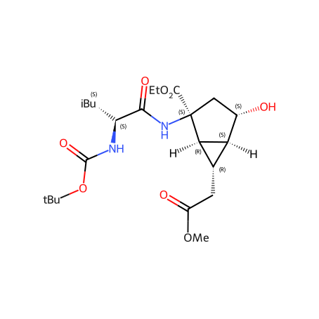 CCOC(=O)[C@]1(NC(=O)[C@@H](NC(=O)OC(C)(C)C)[C@@H](C)CC)C[C@H](O)[C@H]2[C@H](CC(=O)OC)[C@H]21